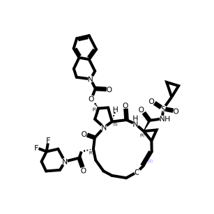 O=C1N[C@]2(C(=O)NS(=O)(=O)C3CC3)CC2/C=C\CCCCC[C@H](CC(=O)N2CCCC(F)(F)C2)C(=O)N2C[C@H](OC(=O)N3CCc4ccccc4C3)C[C@@H]12